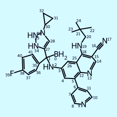 BC(Nc1cc(-c2ccncc2)c2ncc(C#N)c(NCC(C)(C)C)c2c1)(C1=CN(C2CC2)NN1)c1ccc(F)cc1